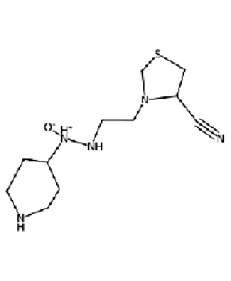 N#CC1CSCN1CCN[NH+]([O-])C1CCNCC1